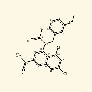 COc1cccc(CN(C(C)=O)c2cc(C(=O)O)cc3cc(Cl)cc(Cl)c23)c1